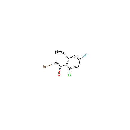 COc1cc(F)cc(Cl)c1C(=O)CBr